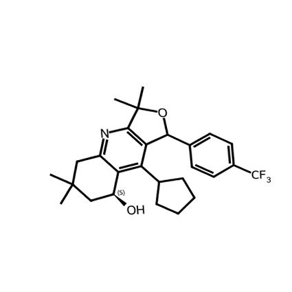 CC1(C)Cc2nc3c(c(C4CCCC4)c2[C@@H](O)C1)C(c1ccc(C(F)(F)F)cc1)OC3(C)C